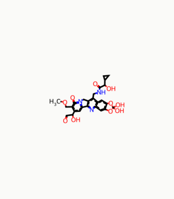 COCc1c(C(O)C=O)cc2n(c1=O)Cc1c-2nc2cc3c(cc2c1CNC(=O)C(O)C1CC1)OC(O)(O)O3